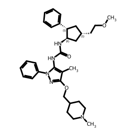 COCC[C@@H]1C[C@@H](NC(=O)Nc2c(C)c(OCC3CCN(C)CC3)nn2-c2ccccc2)[C@H](c2ccccc2)C1